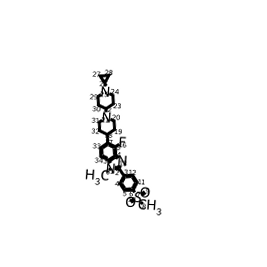 Cn1c(-c2ccc(S(C)(=O)=O)cc2)nc2c(F)c(C3CCN(C4CCN(C5CC5)CC4)CC3)ccc21